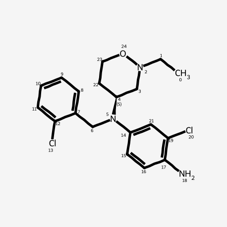 CCN1C[C@@H](N(Cc2ccccc2Cl)c2ccc(N)c(Cl)c2)CCO1